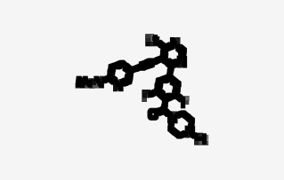 CCc1ncnc(-c2cc(F)c(C(=O)N3CCN(CC)CC3)c(F)c2)c1C#Cc1ccc(NC)nc1